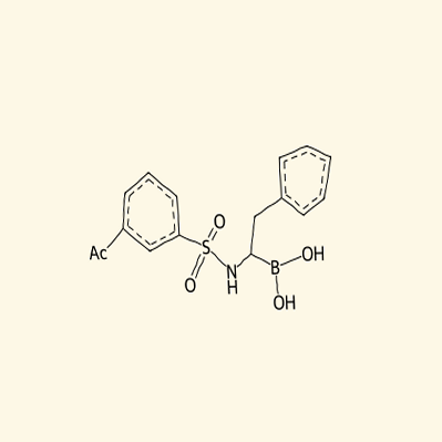 CC(=O)c1cccc(S(=O)(=O)NC(Cc2ccccc2)B(O)O)c1